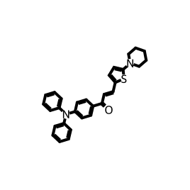 O=C(/C=C/c1ccc(N2CCCCC2)s1)c1ccc(N(c2ccccc2)c2ccccc2)cc1